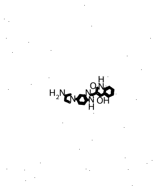 NC1CCN(c2ccc3[nH]c(-c4c(O)c5ccccc5[nH]c4=O)nc3c2)C1